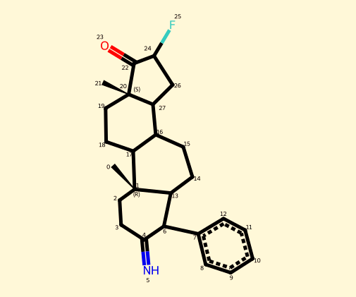 C[C@]12CCC(=N)C(c3ccccc3)C1CCC1C2CC[C@]2(C)C(=O)C(F)CC12